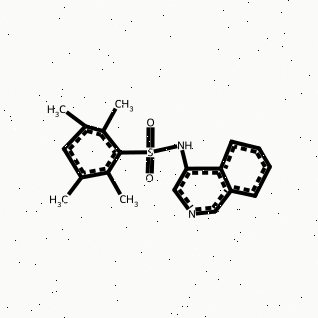 Cc1cc(C)c(C)c(S(=O)(=O)Nc2cn[c]c3ccccc23)c1C